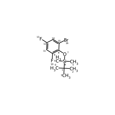 CC(C)(C)[Si](C)(C)Oc1c(F)cc(F)cc1Br